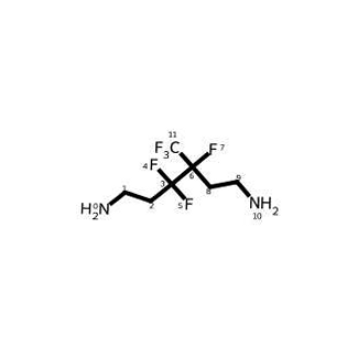 NCCC(F)(F)C(F)(CCN)C(F)(F)F